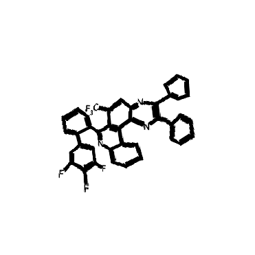 Fc1cc(-c2ccccc2-c2nc3ccccc3c3c2c(C(F)(F)F)cc2nc(-c4ccccc4)c(-c4ccccc4)nc23)cc(F)c1F